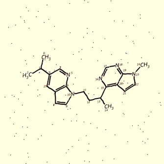 CC(C)c1cnc2c(ccn2CCC(C)c2ncnc3c2ccn3C)c1